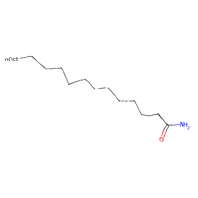 CCCCCCCCCCCCCCCCCCCC(N)=O